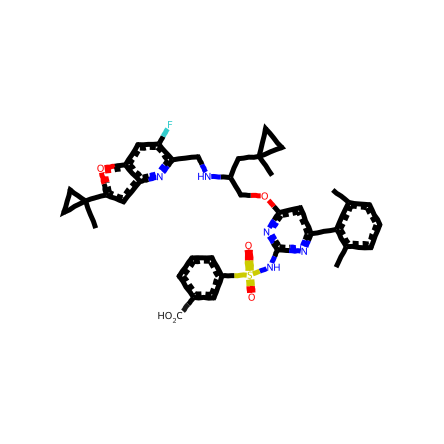 Cc1cccc(C)c1-c1cc(OCC(CC2(C)CC2)NCc2nc3cc(C4(C)CC4)oc3cc2F)nc(NS(=O)(=O)c2cccc(C(=O)O)c2)n1